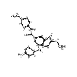 Cc1ccc(Oc2cc(C(=O)Nc3ccc(C)cn3)cc3oc(CO)cc23)cc1